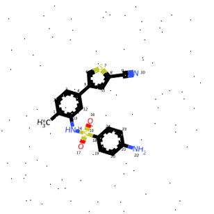 Cc1ccc(-c2csc(C#N)c2)cc1NS(=O)(=O)c1ccc(N)cc1